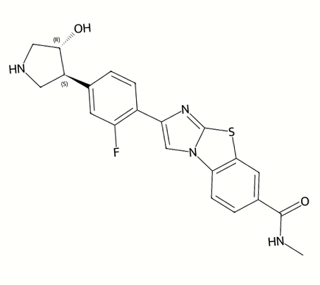 CNC(=O)c1ccc2c(c1)sc1nc(-c3ccc([C@H]4CNC[C@@H]4O)cc3F)cn12